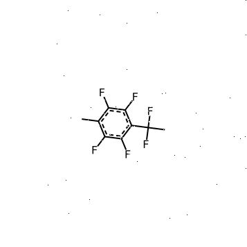 Cc1c(F)c(F)c(C(C)(F)F)c(F)c1F